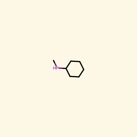 CPC1CCCCC1